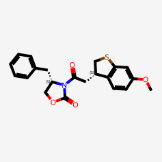 COc1ccc2c(c1)SC[C@H]2CC(=O)N1C(=O)OC[C@@H]1Cc1ccccc1